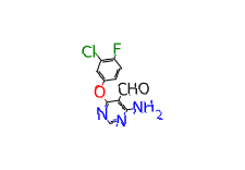 Nc1ncnc(Oc2ccc(F)c(Cl)c2)c1C=O